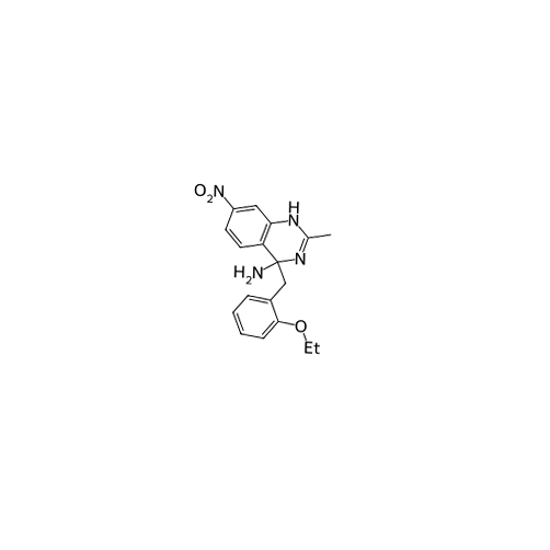 CCOc1ccccc1CC1(N)N=C(C)Nc2cc([N+](=O)[O-])ccc21